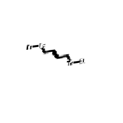 CC[Te]CC=CC[Te]CC